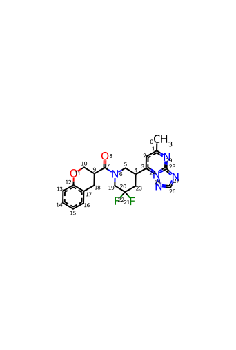 Cc1cc(C2CN(C(=O)C3COc4ccccc4C3)CC(F)(F)C2)n2ncnc2n1